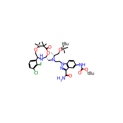 C[C@H](CO[Si](C)(C)C(C)(C)C)N(CCn1nc(C(N)=O)c2cc(NC(=O)OC(C)(C)C)ccc21)C[C@@H]1NC(c2cccc(Cl)c2F)CO[Si](C)(C)C(C)(C)C(=O)O1